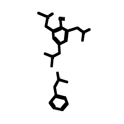 CN(C)Cc1cc(CN(C)C)c(O)c(CN(C)C)c1.CN(C)Cc1ccccc1